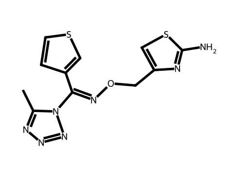 Cc1nnnn1/C(=N/OCc1csc(N)n1)c1ccsc1